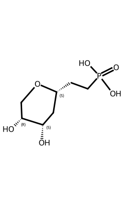 O=P(O)(O)CC[C@@H]1C[C@H](O)[C@H](O)CO1